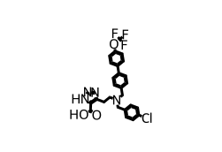 O=C(O)c1[nH]nnc1CCN(Cc1ccc(Cl)cc1)Cc1ccc(-c2ccc(OC(F)(F)F)cc2)cc1